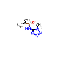 CC(C)[S+]([O-])Nc1nnnn1C